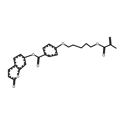 C=C(C)C(=O)OCCCCCOc1ccc(C(=O)Oc2ccc3ccc(=O)oc3c2)cc1